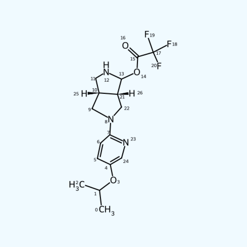 CC(C)Oc1ccc(N2C[C@@H]3CNC(OC(=O)C(F)(F)F)[C@@H]3C2)nc1